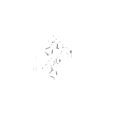 CCOCc1nc2c(N)nc3ccccc3c2n1[C@H](C)CO[P@@](=O)(N[C@@H](C)C(=O)OC(C)(C)C)Oc1ccc(Cl)cc1